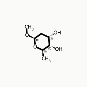 CO[C@H]1C[C@H](O)[C@H](O)[C@@H](C)O1